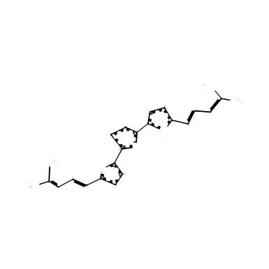 N#CC(C#N)=C/C=C/c1ccc(-c2ccc(-c3ccc(/C=C/C=C(C#N)C#N)o3)s2)o1